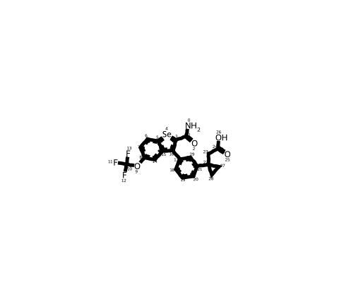 NC(=O)c1[se]c2ccc(OC(F)(F)F)cc2c1-c1cccc(C2(CC(=O)O)CC2)c1